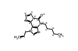 C=CCn1cnc2c1c1nnnn1c(=O)n2CCCCC